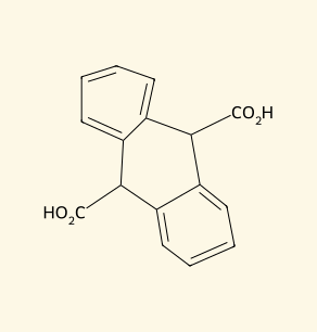 O=C(O)C1c2ccccc2C(C(=O)O)c2ccccc21